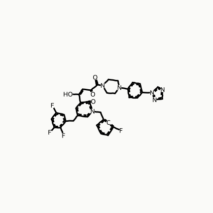 O=C(/C=C(/O)c1cc(Cc2cc(F)cc(F)c2F)cn(Cc2cccc(F)c2)c1=O)C(=O)N1CCN(c2ccc(-n3cncn3)cc2)CC1